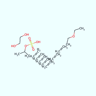 C=C.C=C.C=C.C=C.C=C.C=C.C=C.CC(C)OS(=O)(=O)O.CCOCC.OCCO